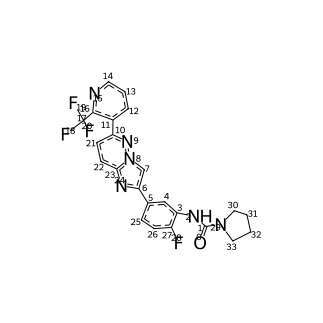 O=C(Nc1cc(-c2cn3nc(-c4cccnc4C(F)(F)F)ccc3n2)ccc1F)N1CCCC1